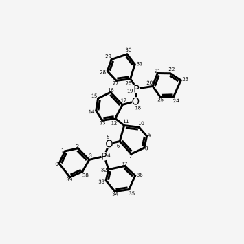 c1ccc(P(Oc2ccccc2-c2ccccc2OP(c2ccccc2)c2ccccc2)c2ccccc2)cc1